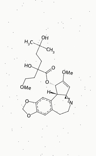 COCCC(O)(CCC(C)(C)O)C(=O)O[C@@H]1C(OC)=C[C@]23CCCN2CCc2cc4c(cc2[C@H]13)OCO4